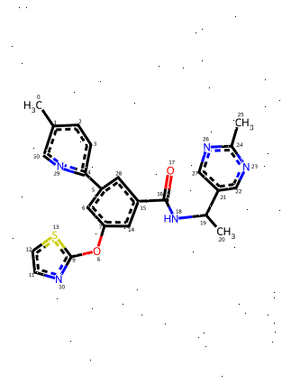 Cc1ccc(-c2cc(Oc3nccs3)cc(C(=O)NC(C)c3cnc(C)nc3)c2)nc1